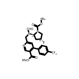 COC(=O)c1cnc(CN(C=O)[C@@H]2C[C@@H](F)CN2C(=O)OC(C)(C)C)cc1-c1ccc(C(F)(F)F)cc1